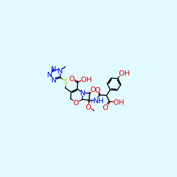 CO[C@@]1(NC(=O)C(C(=O)O)c2ccc(O)cc2)C(=O)N2C(C(=O)O)=C(CSc3nnnn3C)COC21